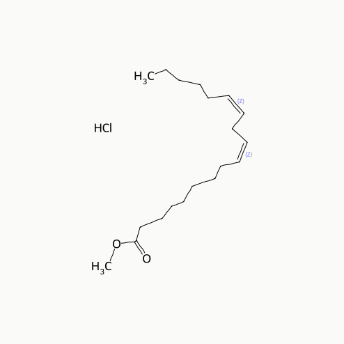 CCCCC/C=C\C/C=C\CCCCCCCC(=O)OC.Cl